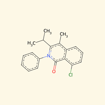 Cc1c(C(C)C)n(-c2ccccc2)c(=O)c2c(Cl)cccc12